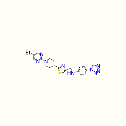 CCc1cnc(N2CCC(c3nc(CNc4ccc(-n5cnnn5)cc4)cs3)CC2)nc1